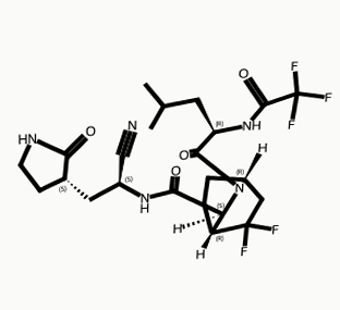 CC(C)C[C@@H](NC(=O)C(F)(F)F)C(=O)N1[C@@H]2CC[C@H]([C@H]1C(=O)N[C@H](C#N)C[C@@H]1CCNC1=O)C(F)(F)C2